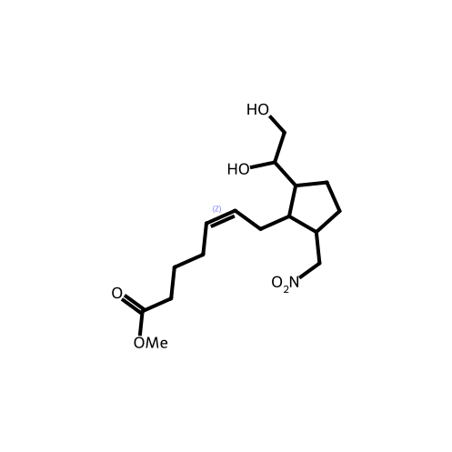 COC(=O)CCC/C=C\CC1C(C[N+](=O)[O-])CCC1C(O)CO